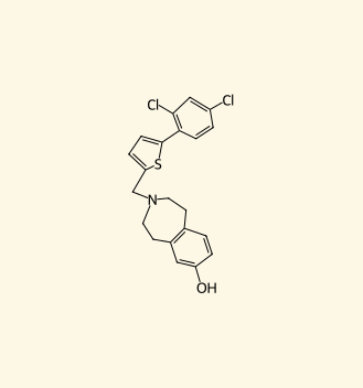 Oc1ccc2c(c1)CCN(Cc1ccc(-c3ccc(Cl)cc3Cl)s1)CC2